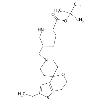 CCc1cc2c(s1)CCOC21CCN(CC2CCC(C(=O)OC(C)(C)C)NC2)CC1